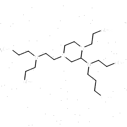 CCCCCCCCCCCCCN(CCCCCCCCCCCC)C1CN(CCN(CCCCCCCCCCCC)CCCCCCCCCCCC)CCN1CCCCCCCCCCCC